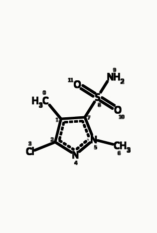 Cc1c(Cl)nn(C)c1S(N)(=O)=O